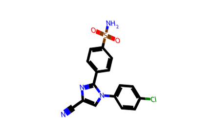 N#Cc1cn(-c2ccc(Cl)cc2)c(-c2ccc(S(N)(=O)=O)cc2)n1